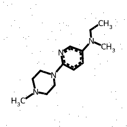 CCN(C)c1ccc(N2CCN(C)CC2)nc1